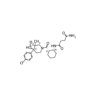 CC1(C)CN(C(=O)[C@H]2CCCC[C@H]2NC(=O)CCC(N)=O)CC[C@]1(O)c1ccc(Cl)cc1